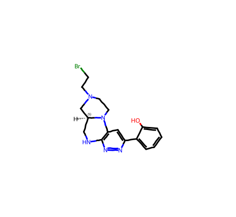 Oc1ccccc1-c1cc2c(nn1)NC[C@H]1CN(CCBr)CCN21